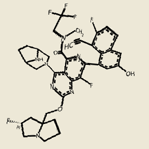 C#Cc1c(F)ccc2cc(O)cc(-c3nc(C(=O)N(C)CC(F)(F)F)c4c(N5CC6CCC(C5)N6)nc(OCC56CCCN5C[C@H](F)C6)nc4c3F)c12